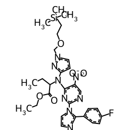 CCOC(=O)C(CC)N(c1ccn(COCC[Si](C)(C)C)n1)c1nc(-n2ccnc2-c2ccc(F)cc2)ncc1[N+](=O)[O-]